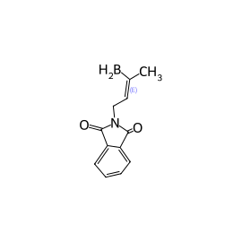 B/C(C)=C\CN1C(=O)c2ccccc2C1=O